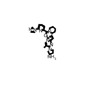 Cc1cn2nc([C@@H]3CCCCN3C(=O)c3cccc(-n4ccnc4)n3)cc2nc1N1CC[C@H](N)C1